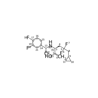 C=C(O)[C@H](CC(F)(F)CC1CC1)NC(c1ccc(F)c(F)c1)C(F)(F)F